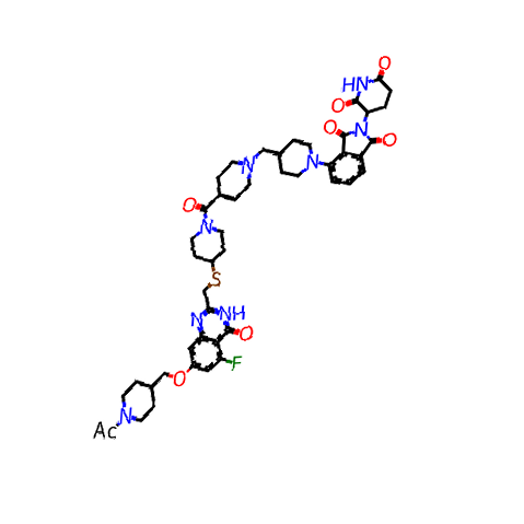 CC(=O)N1CCC(COc2cc(F)c3c(=O)[nH]c(CSC4CCN(C(=O)C5CCN(CC6CCN(c7cccc8c7C(=O)N(C7CCC(=O)NC7=O)C8=O)CC6)CC5)CC4)nc3c2)CC1